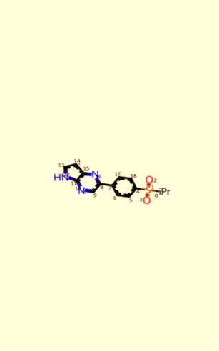 CC(C)S(=O)(=O)c1ccc(-c2cnc3[nH]c[c]c3n2)cc1